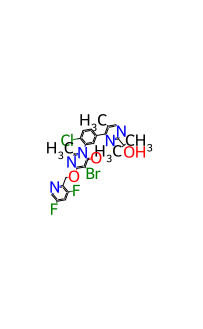 Cc1cnc(C(C)(C)O)nc1-c1ccc(Cl)c(-n2c(C)nc(OCc3ncc(F)cc3F)c(Br)c2=O)c1